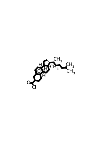 CC(C)CCC[C@@H](C)[C@H]1CC[C@H]2[C@@H]3CC=C4CC(C(=O)Cl)CC[C@]4(C)[C@H]3CC[C@]12C